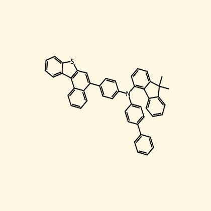 CC1(C)c2ccccc2-c2c(N(c3ccc(-c4ccccc4)cc3)c3ccc(-c4cc5sc6ccccc6c5c5ccccc45)cc3)cccc21